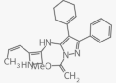 C=C(OC)n1nc(-c2ccccc2)c(C2=CCCCC2)c1NC1=C(/C=C\C)NC1